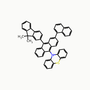 CC1(C)c2ccccc2-c2ccc(-c3c4ccccc4c(N4c5ccccc5Sc5ccccc54)c4ccc(-c5cccc6ccccc56)cc34)cc21